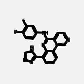 Cc1cc(Nc2nc3c(-c4nnc[nH]4)cccc3c3cnccc23)ccc1F